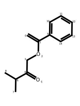 C=C(OCC(=O)C(C)C)c1ccccc1